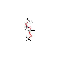 C[SiH2]O[SiH](C)O[SiH](C)OO[Si](C)(C)C